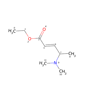 CCOC(=O)C=CC(C)N(C)C